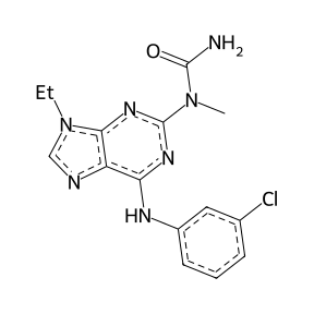 CCn1cnc2c(Nc3cccc(Cl)c3)nc(N(C)C(N)=O)nc21